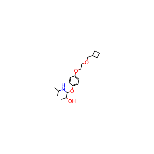 CC(C)NC(Oc1ccc(OCCOCC2CCC2)cc1)C(C)O